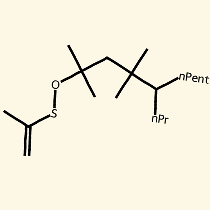 C=C(C)SOC(C)(C)CC(C)(C)C(CCC)CCCCC